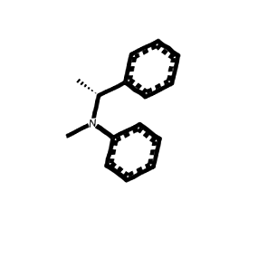 C[C@H](c1ccccc1)N(C)c1ccccc1